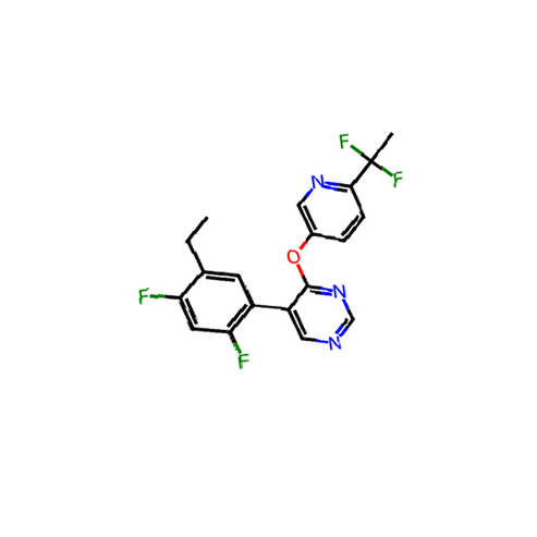 CCc1cc(-c2cncnc2Oc2ccc(C(C)(F)F)nc2)c(F)cc1F